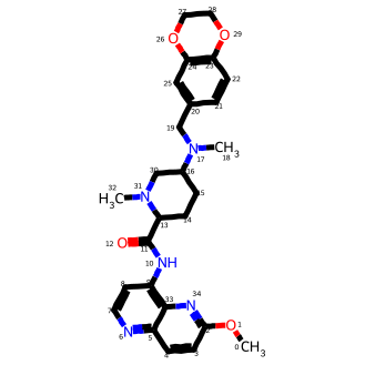 COc1ccc2nccc(NC(=O)C3CCC(N(C)Cc4ccc5c(c4)OCCO5)CN3C)c2n1